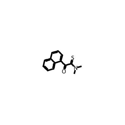 CN(C)C(=S)C(=O)c1cccc2ccccc12